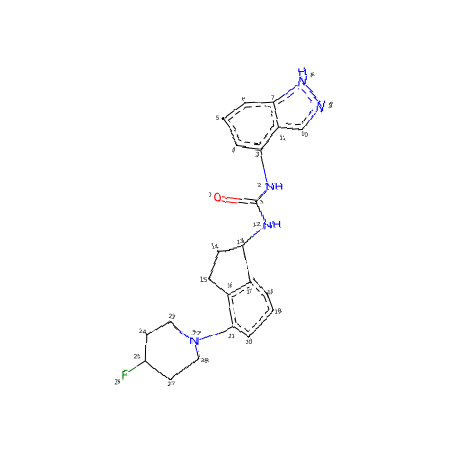 O=C(Nc1cccc2[nH]ncc12)NC1CCc2c1cccc2N1CCC(F)CC1